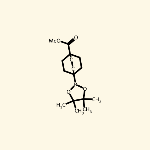 COC(=O)C12CCC(B3OC(C)(C)C(C)(C)O3)(CC1)CC2